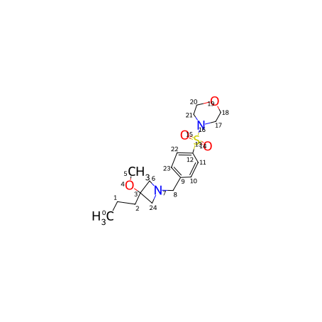 CCCC1(OC)CN(Cc2ccc(S(=O)(=O)N3CCOCC3)cc2)C1